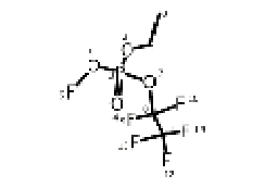 CCOP(=O)(OF)OC(F)(F)C(F)(F)F